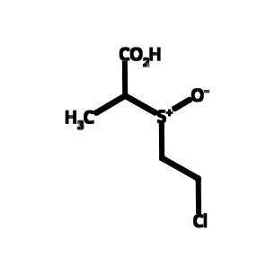 CC(C(=O)O)[S+]([O-])CCCl